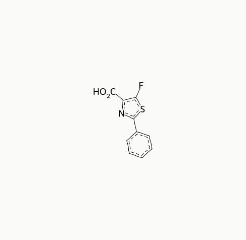 O=C(O)c1nc(-c2ccccc2)sc1F